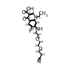 CCn1cc(C(=O)O)c(=O)c2cc(F)c(NCCOCCOCCC#N)cc21